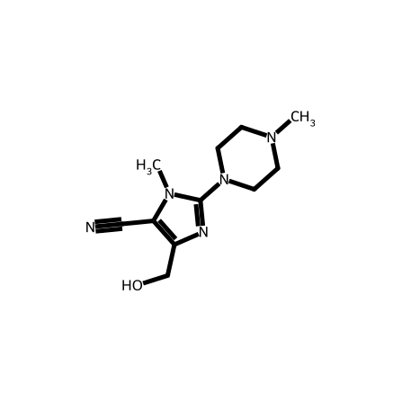 CN1CCN(c2nc(CO)c(C#N)n2C)CC1